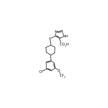 O=C(O)c1[nH]nnc1SC1CCC(c2cc(Cl)cc(OC(F)(F)F)c2)CC1